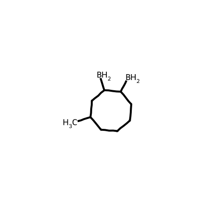 BC1CCCCC(C)CC1B